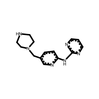 c1cnc(Nc2ccc(CN3CCNCC3)cn2)nc1